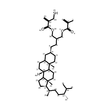 C=C(C)C(=O)OCC(CC[C@H]1CC[C@@]2(C)C(CC[C@@H]3C2CC[C@@]2(C)C3CC[C@@H]2[C@H](C)CC[C@@H](C)C(C)C)C1)COC(=O)C(=C)CS